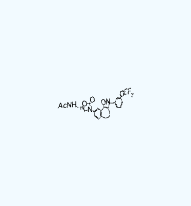 CC(=O)NC[C@H]1CN(c2ccc3c(c2)-c2onc(-c4cccc(OC(F)(F)F)c4)c2CCC3)C(=O)O1